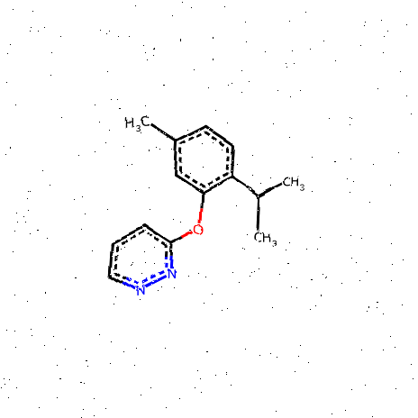 Cc1ccc(C(C)C)c(Oc2cccnn2)c1